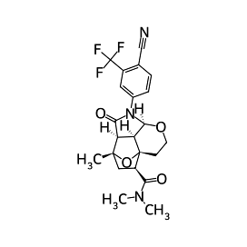 CN(C)C(=O)[C@H]1C[C@@]2(C)O[C@@]13CCO[C@H]1[C@@H]3[C@@H]2C(=O)N1c1ccc(C#N)c(C(F)(F)F)c1